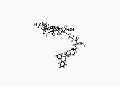 CC(C(=O)N(C)c1ccc(N(CCCCCC(=O)N(C)CCN2CCC(OC(=O)Nc3ccccc3-c3ccccc3)CC2)C(=O)O)cc1)N(C)C(=O)OC(C)(C)C